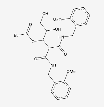 CCC(=O)OC(C(O)CO)C(C(=O)NCc1ccccc1OC)C(=O)NCc1ccccc1OC